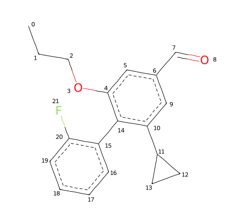 CCCOc1cc(C=O)cc(C2CC2)c1-c1ccccc1F